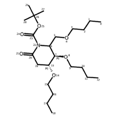 CCCCOCC1[C@@H](OCCCC)[C@H](OCCCC)CC(=O)N1C(=O)OC(C)(C)C